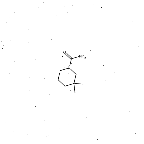 CC1(C)CCCN(C(N)=O)C1